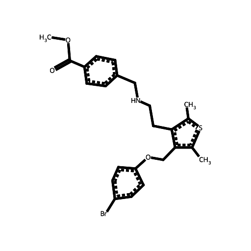 COC(=O)c1ccc(CNCCc2c(C)sc(C)c2COc2ccc(Br)cc2)cc1